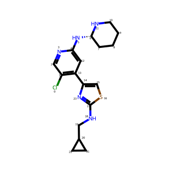 Clc1cnc(N[C@H]2CCCCN2)cc1-c1csc(NCC2CC2)n1